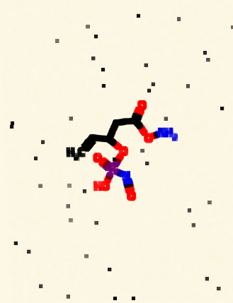 C=CC(CC(=O)ON)OP(=O)(O)N=O